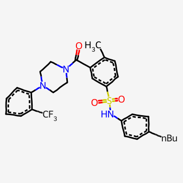 CCCCc1ccc(NS(=O)(=O)c2ccc(C)c(C(=O)N3CCN(c4ccccc4C(F)(F)F)CC3)c2)cc1